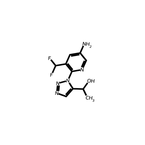 CC(O)c1cnnn1-c1ncc(N)cc1C(F)F